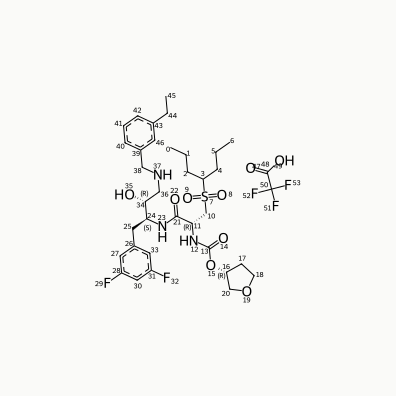 CCCC(CCC)S(=O)(=O)C[C@H](NC(=O)O[C@@H]1CCOC1)C(=O)N[C@@H](Cc1cc(F)cc(F)c1)[C@H](O)CNCc1cccc(CC)c1.O=C(O)C(F)(F)F